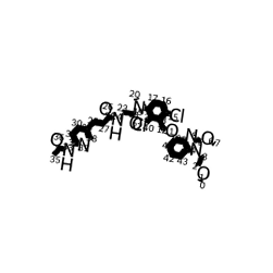 COCCn1c(OC)nc2c(OCc3c(Cl)ccc(N(C)C(=O)CNC(=O)C=Cc4ccc(NC(C)=O)nc4)c3Cl)cccc21